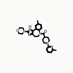 Cc1ccc2c(c1)-c1[nH]c(N3CCOCC3)nc1CCN2C(=O)C1CCN(c2cccc(C)n2)CC1